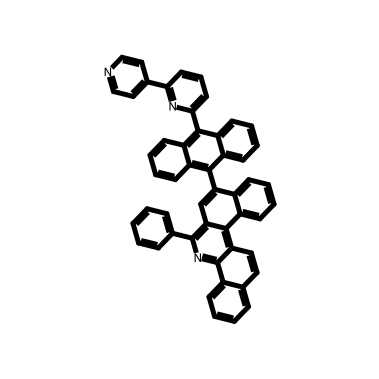 c1ccc(-c2nc3c4ccccc4ccc3c3c2cc(-c2c4ccccc4c(-c4cccc(-c5ccncc5)n4)c4ccccc24)c2ccccc23)cc1